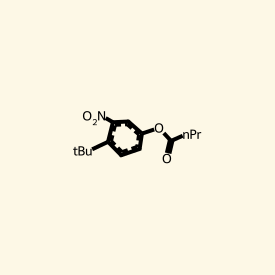 CCCC(=O)Oc1ccc(C(C)(C)C)c([N+](=O)[O-])c1